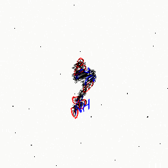 O=C1CCC(N2Cc3cc(O[C@H]4CCN(Cc5ccc6nc(CO[C@@H]7CCOC7)ccc6c5)C4)ccc3C2=O)C(=O)N1